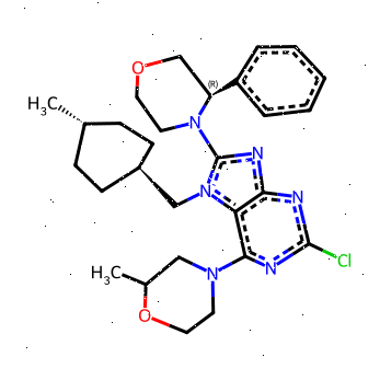 CC1CN(c2nc(Cl)nc3nc(N4CCOC[C@H]4c4ccccc4)n(C[C@H]4CC[C@H](C)CC4)c23)CCO1